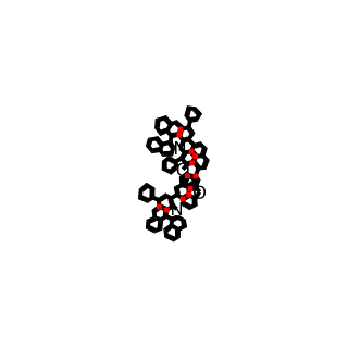 c1ccc(-c2ccc(N(c3ccc4oc5cc(-c6ccc7ccc(-c8cc(-c9ccccc9)ccc8N(c8ccc9ccccc9c8-c8cccc9ccccc89)c8cccc9oc%10ccccc%10c89)cc7c6)ccc5c4c3)c3ccc4ccccc4c3-c3cccc4ccccc34)c(-c3ccc4ccccc4c3)c2)cc1